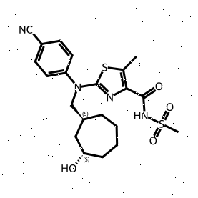 Cc1sc(N(C[C@H]2CCCC[C@H](O)C2)c2ccc(C#N)cc2)nc1C(=O)NS(C)(=O)=O